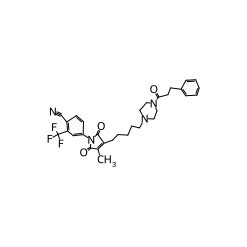 CC1=C(CCCCCN2CCN(C(=O)CCc3ccccc3)CC2)C(=O)N(c2ccc(C#N)c(C(F)(F)F)c2)C1=O